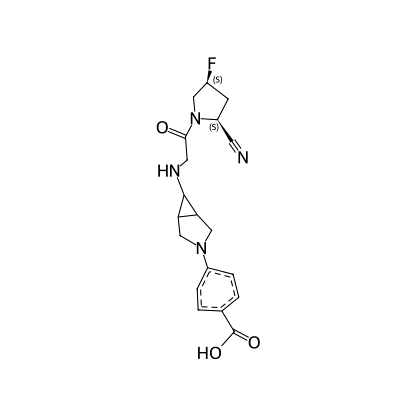 N#C[C@@H]1C[C@H](F)CN1C(=O)CNC1C2CN(c3ccc(C(=O)O)cc3)CC21